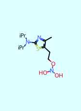 Cc1nc(N(C(C)C)C(C)C)sc1CCON(O)O